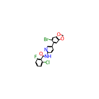 O=C(Nc1ccc(-c2cc3c(cc2Br)OCO3)cn1)c1c(F)cccc1Cl